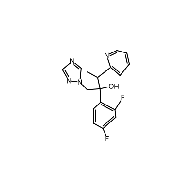 CC(c1ccccn1)C(O)(Cn1cncn1)c1ccc(F)cc1F